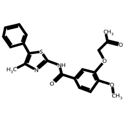 COc1ccc(C(=O)Nc2nc(C)c(-c3ccccc3)s2)cc1OCC(C)=O